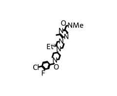 CC[C@H]1CN(c2ncc(C(=O)NC)nc2C)CCN1C1CCN(C(=O)c2ccc(Cl)c(F)c2)CC1